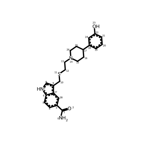 NC(=O)c1ccc2[nH]cc(CSCCN3CCC(c4cccc(O)c4)CC3)c2c1